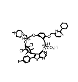 Cc1c(Cl)c2c(Cl)c(C)c1-c1c(-c3ccc(F)cc3)sc3ncnc(c13)O[C@@H](C(=O)O)Cc1cc(ccc1OCc1ccnc(C3CCCCC3)n1)OC[C@@H](CN1CCN(C)CC1)O2